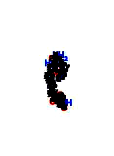 CN1CCN([C@@H]2CCCN(c3cnc(C(N)=O)c(Nc4ccc(N5CCN(CC6CCN(c7ccc8c(c7)C(=O)N(C7CCC(=O)NC7=O)C8=O)C6)CC5)cn4)n3)C2)C1O